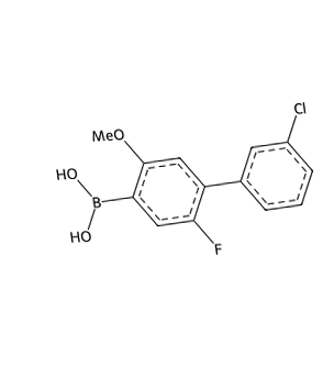 COc1cc(-c2cccc(Cl)c2)c(F)cc1B(O)O